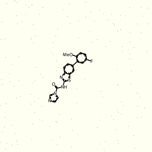 COc1ccc(F)cc1-c1ccc2nc(NC(=O)n3ccnc3)sc2c1